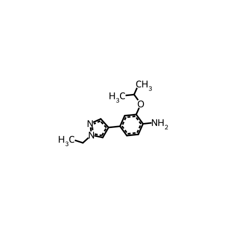 CCn1cc(-c2ccc(N)c(OC(C)C)c2)cn1